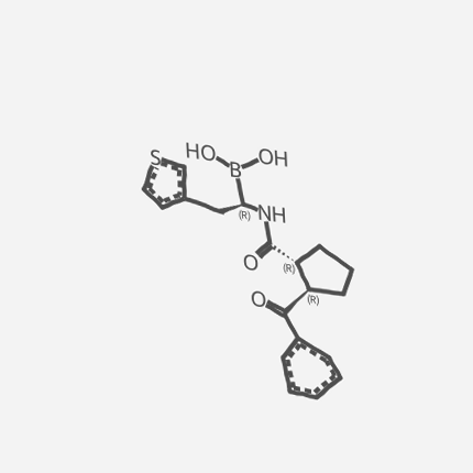 O=C(N[C@@H](Cc1ccsc1)B(O)O)[C@@H]1CCC[C@H]1C(=O)c1ccccc1